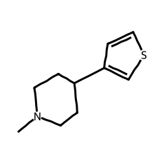 CN1CCC(c2ccsc2)CC1